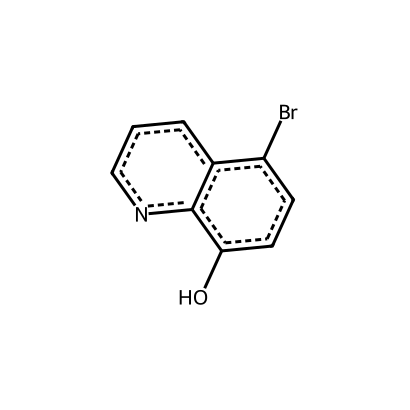 Oc1ccc(Br)c2cccnc12